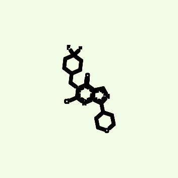 O=c1c2cnc(C3CCOCC3)n2nc(Cl)n1CC1CCC(F)(F)CC1